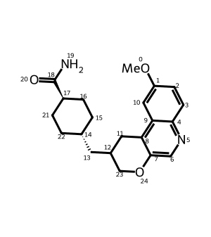 COc1ccc2ncc3c(c2c1)CC(C[C@H]1CC[C@H](C(N)=O)CC1)CO3